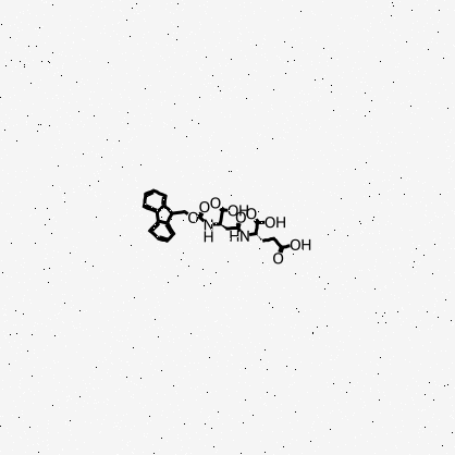 O=C(O)CC[C@H](NC(=O)C[C@@H](NC(=O)OCC1c2ccccc2-c2ccccc21)C(=O)O)C(=O)O